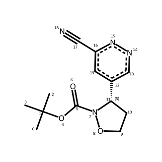 CC(C)(C)OC(=O)N1OCC[C@H]1c1cnnc(C#N)c1